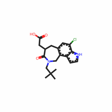 CC(C)(C)CN1Cc2c(cc(Cl)c3[nH]ccc23)CC(CC(=O)O)C1=O